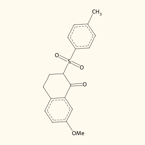 COc1ccc2c(c1)C(=O)C(S(=O)(=O)c1ccc(C)cc1)CC2